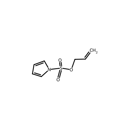 C=CCOS(=O)(=O)n1cccc1